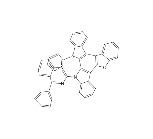 c1ccc(-c2nc(-n3c4ccccc4c4c5oc6ccccc6c5c5c6ccccc6n(-c6ccccc6)c5c43)nc3ccccc23)cc1